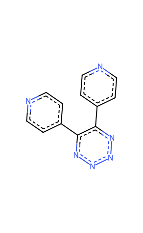 c1cc(-c2nnnnc2-c2ccncc2)ccn1